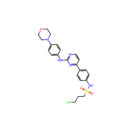 O=S(=O)(CCCCl)Nc1ccc(-c2ccnc(Nc3ccc(N4CCOCC4)cc3)n2)cc1